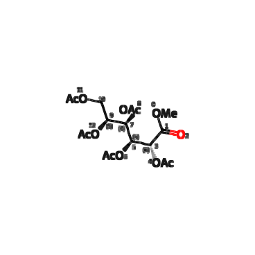 COC(=O)[C@H](OC(C)=O)[C@@H](OC(C)=O)[C@H](OC(C)=O)[C@H](COC(C)=O)OC(C)=O